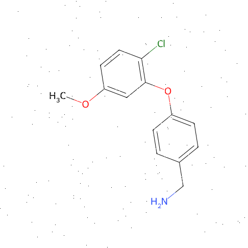 COc1ccc(Cl)c(Oc2ccc(CN)cc2)c1